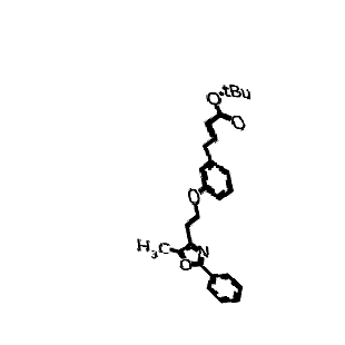 Cc1oc(-c2ccccc2)nc1CCOc1cccc(C/C=C/C(=O)OC(C)(C)C)c1